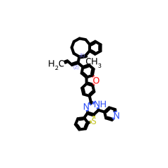 C=C/C=C(\C1=C(/C)c2ccccc2CCCCC1)c1ccc2oc3cc(C4=Nc5c(sc6ccccc56)C(c5ccncc5)N4)ccc3c2c1